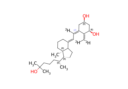 [2H]C([2H])=C1/C(=C(/[2H])C=C2CCC[C@@]3(C)C2CC[C@@H]3[C@H](C)CCCC(C)(C)O)C[C@@H](O)C[C@H]1O